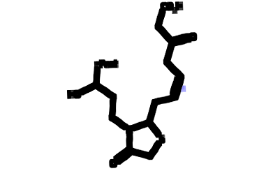 CCCCCC(O)CCN1C(=O)CSC1C/C=C\CC(=O)CC(=O)O